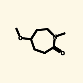 COC1CCC(=O)N(C)CC1